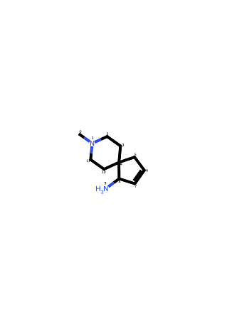 CN1CCC2(CC=CC2N)CC1